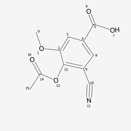 COc1cc(C(=O)O)cc(C#N)c1OC(C)=O